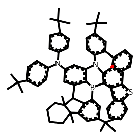 CC(C)(C)c1ccc(N(c2ccc(C(C)(C)C)cc2)c2cc3c4c(c2)N(c2ccc(C(C)(C)C)cc2-c2ccccc2)c2ccc5sc6ccccc6c5c2B4c2cc(C(C)(C)C)cc4c2C3C2(C)CCCCC42C)cc1